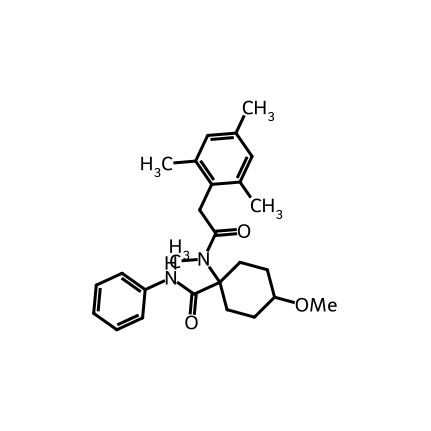 COC1CCC(C(=O)Nc2ccccc2)(N(C)C(=O)Cc2c(C)cc(C)cc2C)CC1